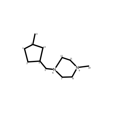 CC1CCC(CN2CCN(C)CC2)C1